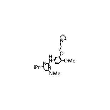 CNc1cc(C(C)C)nc(Nc2ccc(OC)c(OCCCN3CCCC3)c2)n1